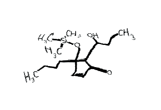 CCCCC1(O[Si](C)(C)C)C=CC(=O)C1C(O)CCC